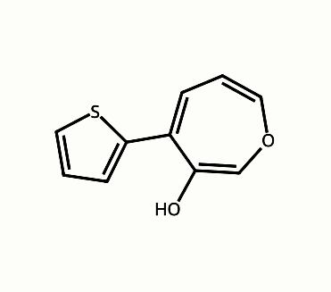 OC1=COC=CC=C1c1cccs1